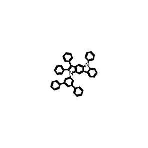 c1ccc(-c2cc(-c3ccccc3)cc(-n3c(-c4ccccc4)c(-c4ccccc4)c4cc5c(cc43)c3ccccc3n5-c3ccccc3)c2)cc1